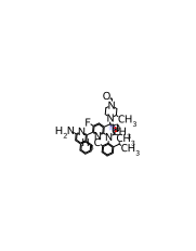 C/N=C(\c1cc(F)c(-c2nc(N)cc3ccccc23)nc1N(C=O)c1c(C)cccc1C(C)C)N1CCN(C=O)CC1C